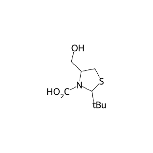 CC(C)(C)C1SCC(CO)N1C(=O)O